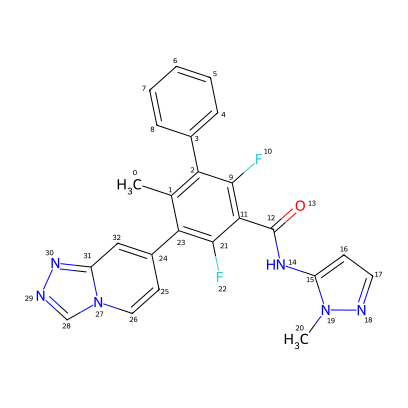 Cc1c(-c2ccccc2)c(F)c(C(=O)Nc2ccnn2C)c(F)c1-c1ccn2cnnc2c1